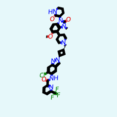 COc1ccc2c(c1C1CCN(C[C@H]3C[C@H](n4cc5cc(NC(=O)c6cccc(C(F)(F)F)n6)c(Cl)cc5n4)C3)CC1)n(C)c(=O)n2C1CCCNC1=O